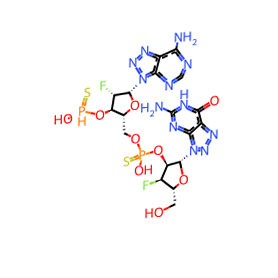 Nc1nc2c(nnn2[C@@H]2O[C@H](CO)[C@@H](F)[C@H]2OP(O)(=S)OC[C@H]2O[C@@H](n3nnc4c(N)ncnc43)[C@@H](F)[C@@H]2O[PH](O)=S)c(=O)[nH]1